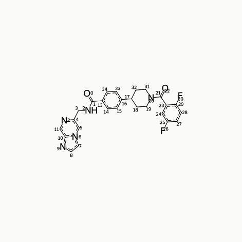 O=C(NCc1cn2ccnc2cn1)c1ccc(C2CCN(C(=O)c3cc(F)ccc3F)CC2)cc1